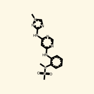 CN(c1ccccc1Nc1cc(Nc2ncn(C)n2)ncn1)S(C)(=O)=O